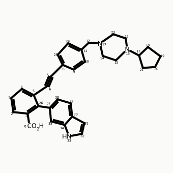 O=C(O)c1cccc(C#Cc2ccc(CN3CCN(C4CCCC4)CC3)cc2)c1-c1ccc2cc[nH]c2c1